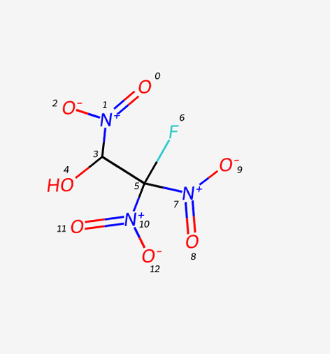 O=[N+]([O-])C(O)C(F)([N+](=O)[O-])[N+](=O)[O-]